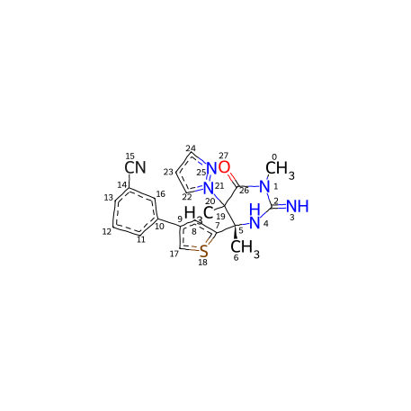 CN1C(=N)N[C@](C)(c2cc(-c3cccc(C#N)c3)cs2)C(C)(n2cccn2)C1=O